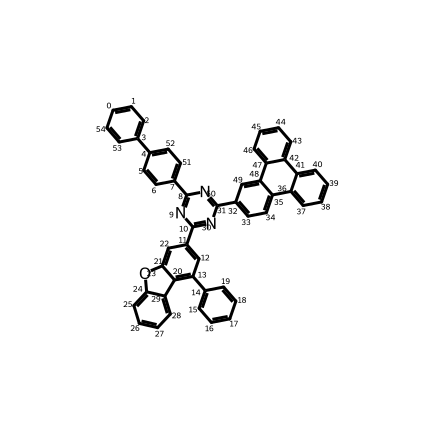 c1ccc(-c2ccc(-c3nc(-c4cc(-c5ccccc5)c5c(c4)oc4ccccc45)nc(-c4ccc5c6ccccc6c6ccccc6c5c4)n3)cc2)cc1